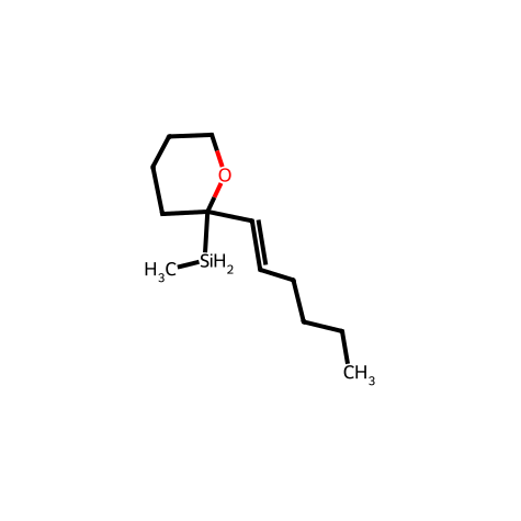 CCCCC=CC1([SiH2]C)CCCCO1